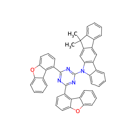 CC1(C)c2ccccc2-c2cc3c4ccccc4n(-c4nc(-c5cccc6oc7ccccc7c56)nc(-c5cccc6oc7ccccc7c56)n4)c3cc21